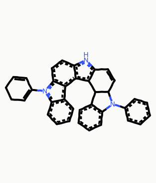 C1=CC(n2c3ccccc3c3c4c5c([nH]c4ccc32)C=CC2C5c3ccccc3N2c2ccccc2)=CCC1